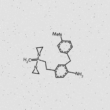 C=P(CCc1ccc(N)c(Cc2ccc(NC)cc2)c1)(N1CC1)N1CC1